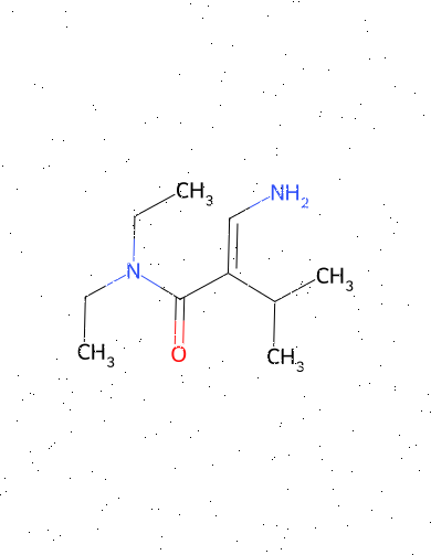 CCN(CC)C(=O)C(=CN)C(C)C